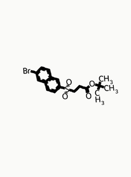 CC(C)(C)OC(=O)CCS(=O)(=O)c1ccc2cc(Br)ccc2c1